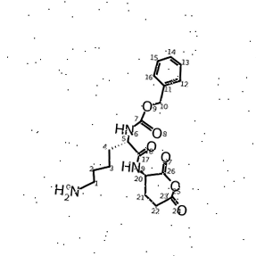 NCCCC[C@H](NC(=O)OCc1ccccc1)C(=O)N[C@@H]1CCC(=O)OC1=O